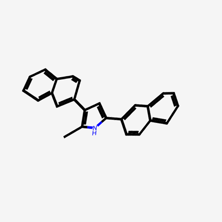 Cc1[nH]c(-c2ccc3ccccc3c2)cc1-c1ccc2ccccc2c1